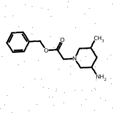 CC1CC(N)CN(CC(=O)OCc2ccccc2)C1